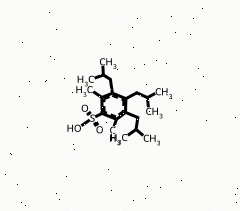 Cc1c(CC(C)C)c(CC(C)C)c(CC(C)C)c(C)c1S(=O)(=O)O